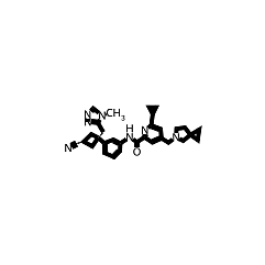 Cn1cnnc1C[C@]1(c2cccc(NC(=O)c3cc(CN4CCC5(CC5)C4)cc(C4CC4)n3)c2)C[C@H](C#N)C1